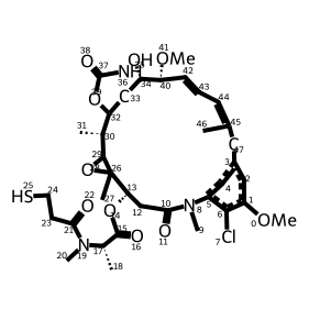 COc1cc2cc(c1Cl)N(C)C(=O)C[C@H](OC(=O)[C@H](C)N(C)C(=O)CCS)C1(C)OC1[C@H](C)C1C[C@@](O)(NC(=O)O1)[C@H](OC)/C=C/C=C(\C)C2